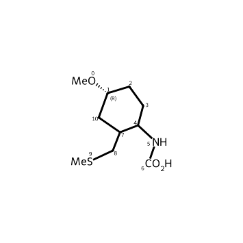 CO[C@@H]1CCC(NC(=O)O)C(CSC)C1